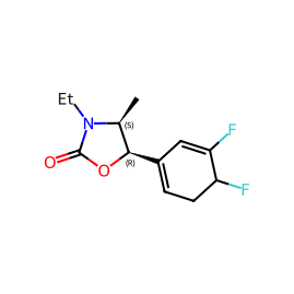 CCN1C(=O)O[C@H](C2=CCC(F)C(F)=C2)[C@@H]1C